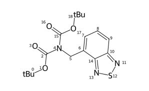 CC(C)(C)OC(=O)N(Cc1cccc2nsnc12)C(=O)OC(C)(C)C